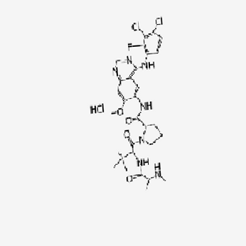 CNC(C)C(=O)NC(C(=O)N1CCCC1C(=O)Nc1cc2c(Nc3ccc(Cl)c(Cl)c3F)ncnc2cc1OC)C(C)(C)C.Cl